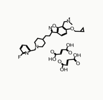 CN(C)Cc1c(OCC2CC2)ccc2c(CCC3CCN(Cc4cccc(F)n4)CC3)noc12.O=C(O)C=CC(=O)O.O=C(O)C=CC(=O)O